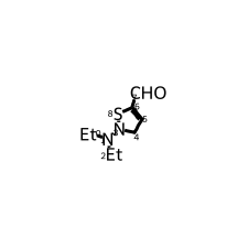 CCN(CC)N1CC=C(C=O)S1